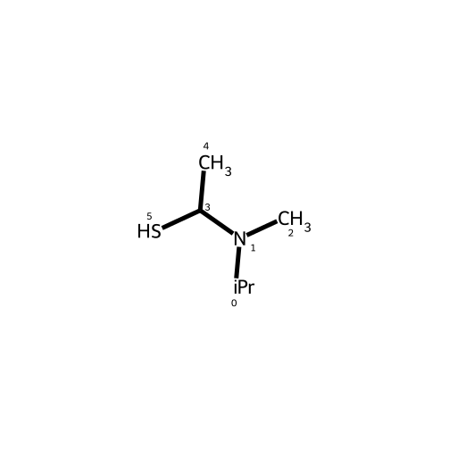 CC(C)N(C)C(C)S